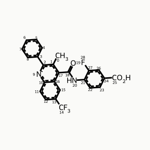 Cc1c(-c2ccccc2)nc2ccc(C(F)(F)F)cc2c1C(=O)Nc1ccc(C(=O)O)cc1F